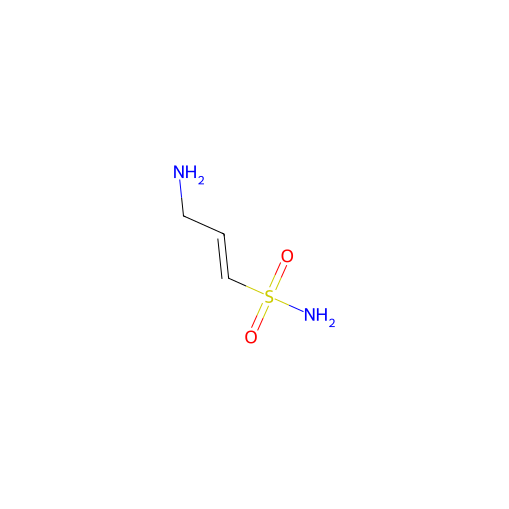 NC/C=C/S(N)(=O)=O